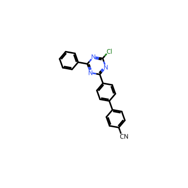 N#Cc1ccc(-c2ccc(-c3nc(Cl)nc(-c4ccccc4)n3)cc2)cc1